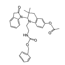 CC(=O)Oc1ccc2c(c1)CC(C)(C)C(N1C(=O)Cc3ccccc31)N2CCNC(=O)OCc1ccccc1